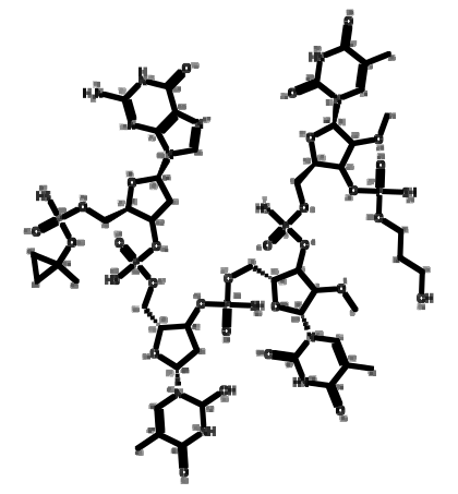 COC1C(OP(=O)(S)OC[C@H]2O[C@@H](n3cc(C)c(=O)[nH]c3=O)C(OC)C2OP(=O)(S)OCCCO)[C@@H](COP(=O)(S)OC2C[C@H](N3C=C(C)C(=O)NC3O)O[C@@H]2COP(=O)(S)OC2C[C@H](n3cnc4c(=O)[nH]c(N)nc43)O[C@@H]2COP(=O)(S)OC2(C)CC2)O[C@H]1n1cc(C)c(=O)[nH]c1=O